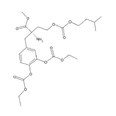 CCOC(=O)Oc1ccc(C[C@](N)(CCOC(=O)OCCC(C)C)C(=O)OC)cc1OC(=O)OCC